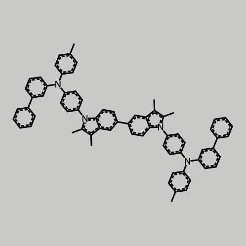 Cc1ccc(N(c2ccc(-n3c(C)c(C)c4cc(-c5ccc6c(c5)c(C)c(C)n6-c5ccc(N(c6ccc(C)cc6)c6cccc(-c7ccccc7)c6)cc5)ccc43)cc2)c2cccc(-c3ccccc3)c2)cc1